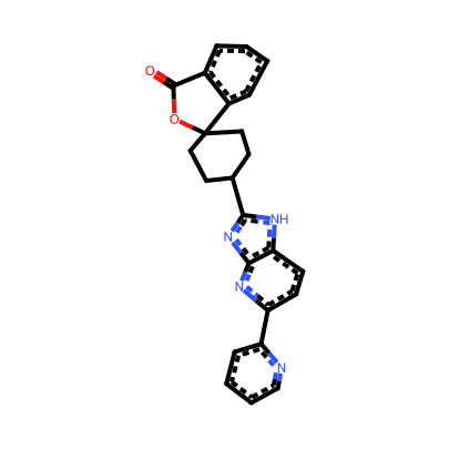 O=C1OC2(CCC(c3nc4nc(-c5ccccn5)ccc4[nH]3)CC2)c2ccccc21